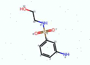 [NH]c1cccc(S(=O)(=O)NCCO)c1